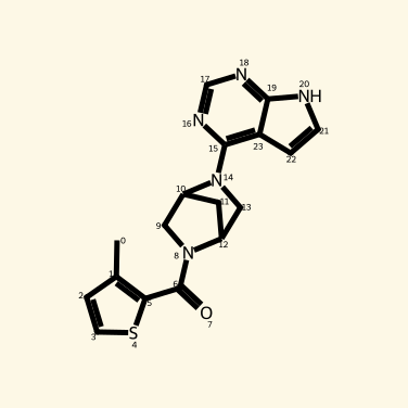 Cc1ccsc1C(=O)N1CC2CC1CN2c1ncnc2[nH]ccc12